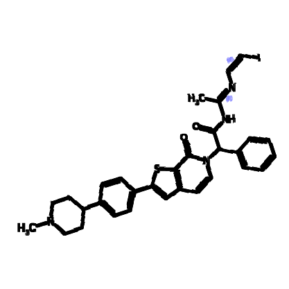 C/C(=N\C=C/I)NC(=O)C(c1ccccc1)n1ccc2cc(-c3ccc(C4CCN(C)CC4)cc3)sc2c1=O